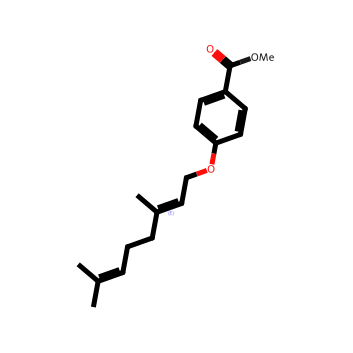 COC(=O)c1ccc(OC/C=C(\C)CCC=C(C)C)cc1